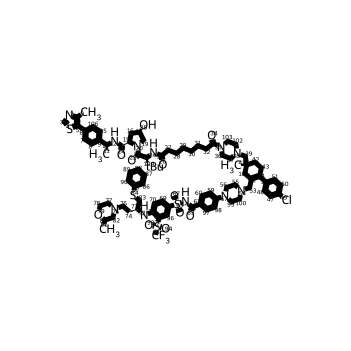 Cc1ncsc1-c1ccc([C@H](C)NC(=O)[C@@H]2C[C@@H](O)CN2C(=O)[C@@H](NC(=O)CCCCCCC(=O)N2CCN(C[C@]3(C)CCC(c4ccc(Cl)cc4)=C(CN4CCN(c5ccc(C(=O)NS(=O)(=O)c6ccc(N[C@H](CCN7CCOC(C)C7)CSc7ccccc7)c(S(=O)(=O)C(F)(F)F)c6)cc5)CC4)C3)CC2)C(C)(C)C)cc1